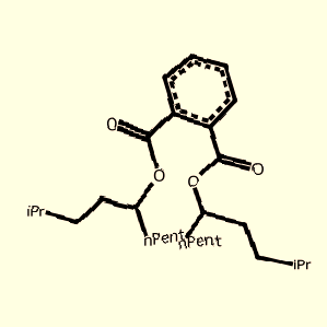 CCCCCC(CCC(C)C)OC(=O)c1ccccc1C(=O)OC(CCCCC)CCC(C)C